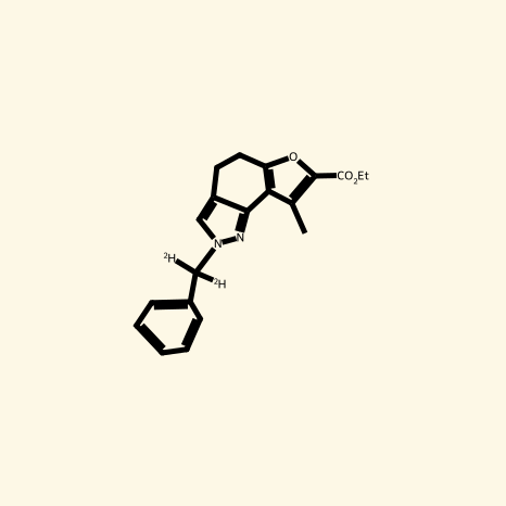 [2H]C([2H])(c1ccccc1)n1cc2c(n1)-c1c(oc(C(=O)OCC)c1C)CC2